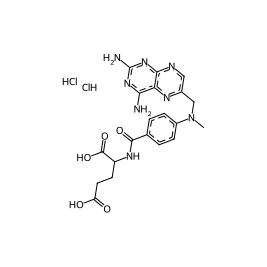 CN(Cc1cnc2nc(N)nc(N)c2n1)c1ccc(C(=O)NC(CCC(=O)O)C(=O)O)cc1.Cl.Cl